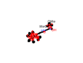 COc1ccc(C(OC[C@@H]2C[C@@H](O)CN2C(=O)CCCCCNC(=O)CCCCCCCCOC2OC(COC(=O)c3ccccc3)C(OC3OC(COC(=O)c4ccccc4)C(OC(=O)c4ccccc4)C(OC(=O)c4ccccc4)C3OC(=O)c3ccccc3)C(OC(=O)c3ccccc3)C2OC(=O)c2ccccc2)(c2ccccc2)c2ccc(OC)cc2)cc1